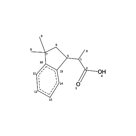 CC(C(=O)O)C1CC(C)(C)c2ccccc21